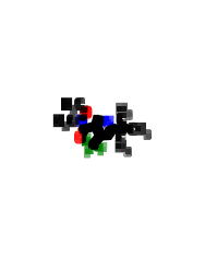 CON(C)C(=O)c1cnc(C(C)(C)C)cc1C(F)(F)F